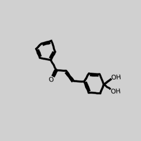 O=C(C=CC1=CCC(O)(O)C=C1)c1ccccc1